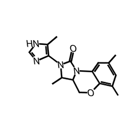 Cc1cc(C)c2c(c1)N1C(=O)N(c3nc[nH]c3C)C(C)C1CO2